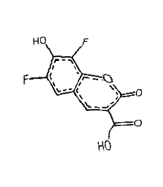 O=C(O)c1cc2cc(F)c(O)c(F)c2oc1=O